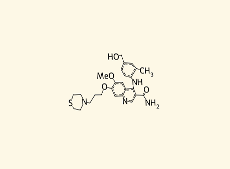 COc1cc2c(Nc3ccc(CO)cc3C)c(C(N)=O)cnc2cc1OCCCN1CCSCC1